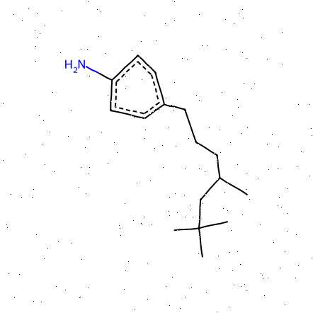 CC(CCCc1ccc(N)cc1)CC(C)(C)C